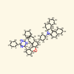 c1ccc(-c2nc(-c3ccccc3)nc(-c3cccc4oc5cc(-c6ccc(-n7c8ccc9ccccc9c8c8c9ccccc9ccc87)cc6)c6ccccc6c5c34)n2)cc1